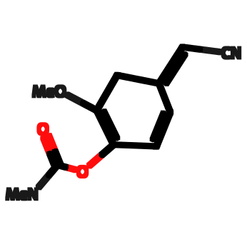 CNC(=O)OC1=C(OC)CC(=CC#N)C=C1